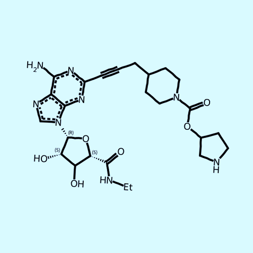 CCNC(=O)[C@H]1O[C@@H](n2cnc3c(N)nc(C#CCC4CCN(C(=O)OC5CCNC5)CC4)nc32)[C@@H](O)C1O